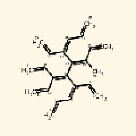 C=C/C=C(/C=C)C(=C(C=C)C=C)C(/C(C=C)=C\C=C)=C(\C)C=C